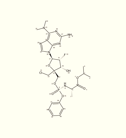 CC(C)OC(=O)[C@H](C)N[P@](=O)(OC[C@@]1(CCl)O[C@@H](n2cnc3c(N(C)C)nc(N)nc32)[C@H](F)[C@@H]1O)Oc1ccccc1